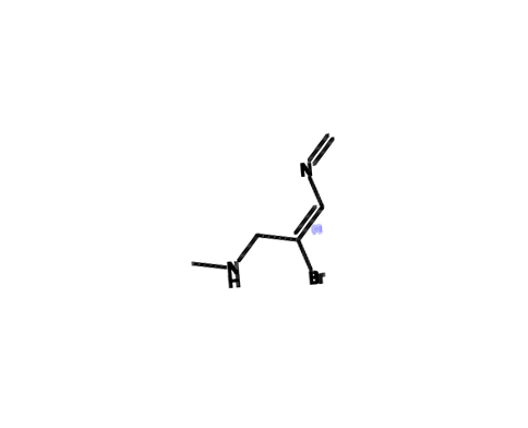 C=N/C=C(/Br)CNC